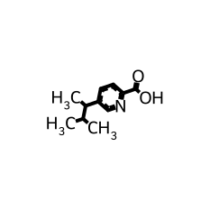 CC(C)C(C)c1ccc(C(=O)O)nc1